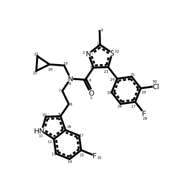 Cc1nc(C(=O)N(CCc2c[nH]c3ccc(F)cc23)CC2CC2)c(-c2ccc(F)c(Cl)c2)s1